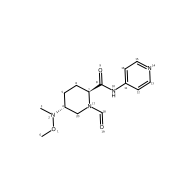 CON(C)[C@@H]1CC[C@@H](C(=O)Nc2ccncc2)N(C=O)C1